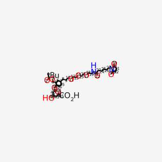 CC(C)(C)C(=O)OCc1cc(CCCOCCOCCOCCNC(=O)CCCCCN2C(=O)C=CC2=O)ccc1OC1CC(O)C[C@@H](C(=O)O)O1